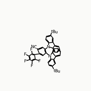 CC(C)(C)c1ccc2c(c1)c1ccccc1n2-c1cc(C#N)c(-c2c(F)c(F)c(F)c(F)c2F)cc1-n1c2ccccc2c2cc(C(C)(C)C)ccc21